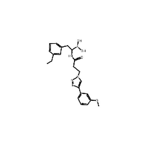 CCc1cccc(CC(NC(=O)CCn2cc(-c3cccc(OC)c3)nn2)B(O)O)c1